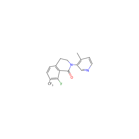 Cc1ccncc1N1CCc2ccc(C(F)(F)F)c(F)c2C1=O